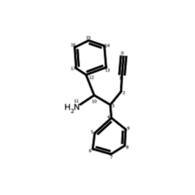 C#CCC(c1ccccc1)C(N)c1ccccc1